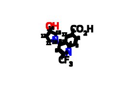 O=C(O)c1ccc2nc(C(F)(F)F)cc(N3CCC(O)C3)c2c1